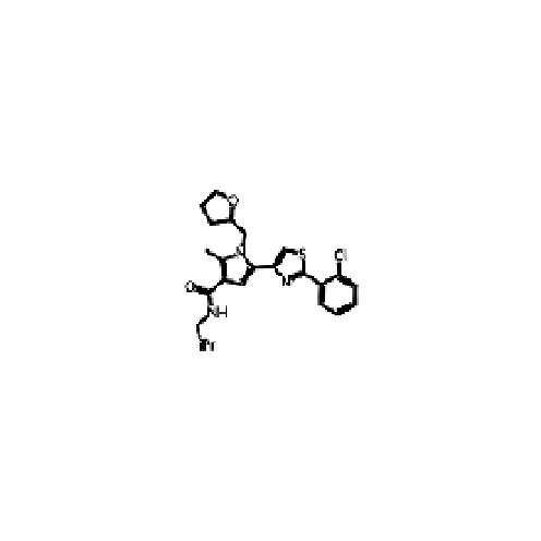 Cc1c(C(=O)NCC(C)C)cc(-c2csc(-c3ccccc3Cl)n2)n1CC1CCCO1